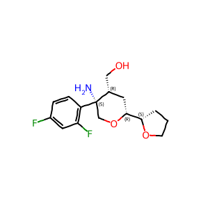 N[C@@]1(c2ccc(F)cc2F)CO[C@@H]([C@@H]2CCCO2)C[C@H]1CO